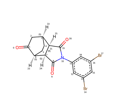 O=C1C[C@@H]2CC[C@H]1[C@@H]1C(=O)N(c3cc(Br)cc(Br)c3)C(=O)[C@H]21